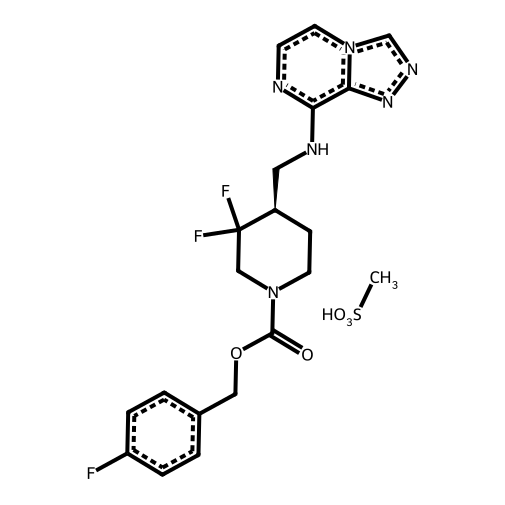 CS(=O)(=O)O.O=C(OCc1ccc(F)cc1)N1CC[C@H](CNc2nccn3cnnc23)C(F)(F)C1